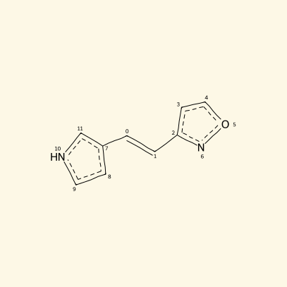 C(=Cc1ccon1)c1cc[nH]c1